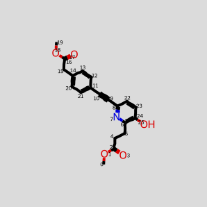 COC(=O)CCc1nc(C#Cc2ccc(CC(=O)OC)cc2)ccc1O